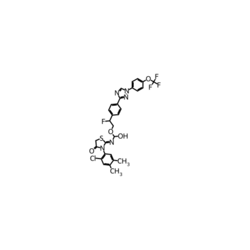 Cc1cc(Cl)c(N2C(=O)CS/C2=N\C(O)OCC(F)c2ccc(-c3ncn(-c4ccc(OC(F)(F)F)cc4)n3)cc2)cc1C